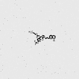 CCCCOC(=O)C[C@@H](c1ccc(OC(F)F)nc1)n1ccn(CCCc2ccc3c(n2)NCCC3)c1=O